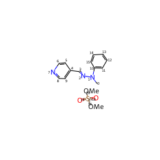 CN(N=Cc1ccncc1)c1ccccc1.COS(=O)(=O)OC